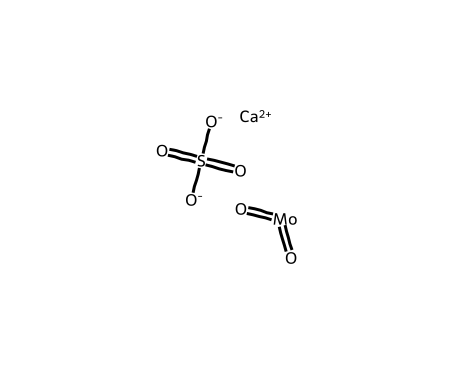 O=S(=O)([O-])[O-].[Ca+2].[O]=[Mo]=[O]